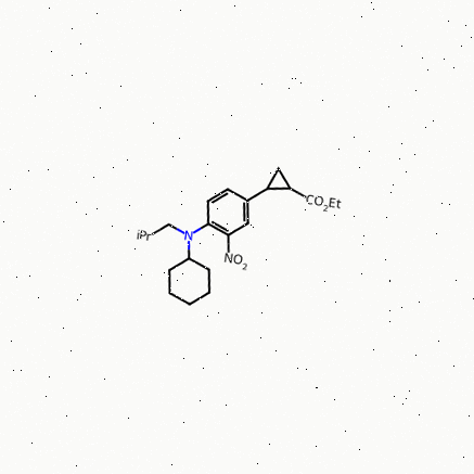 CCOC(=O)C1CC1c1ccc(N(CC(C)C)C2CCCCC2)c([N+](=O)[O-])c1